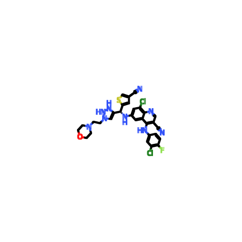 N#Cc1csc([C@H](Nc2cc(Cl)c3ncc(C#N)c(Nc4ccc(F)c(Cl)c4)c3c2)C2=CN(CCN3CCOCC3)NN2)c1